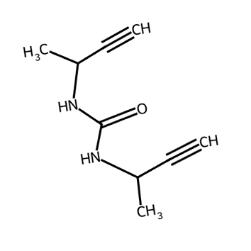 C#CC(C)NC(=O)NC(C)C#C